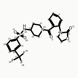 O=C(c1ccccc1N1CCOC1=O)N1CCC(NS(=O)(=O)c2cccc(C(F)(F)F)c2)CC1